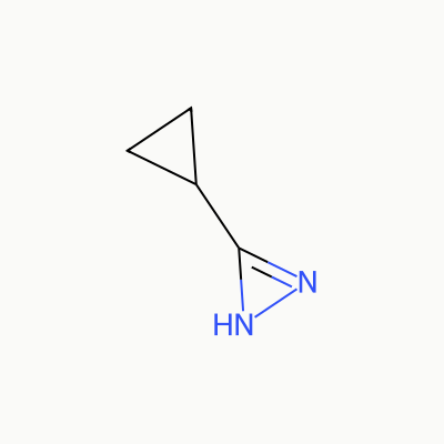 C1CC1C1=NN1